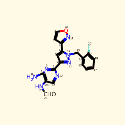 Nc1nc(-c2cc(-c3ccon3)n(Cc3ccccc3F)n2)ncc1NC=O